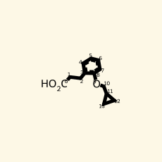 O=C(O)CCc1ccccc1OCC1CC1